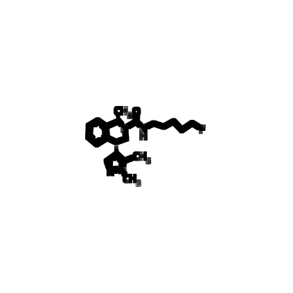 Cc1c([C@H]2CN(C(=O)NCCCCCF)[C@@H](C)c3ccccc32)cnn1C